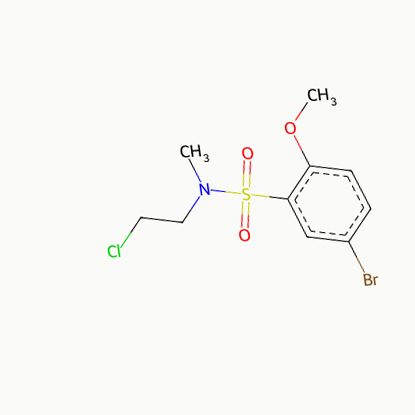 COc1ccc(Br)cc1S(=O)(=O)N(C)CCCl